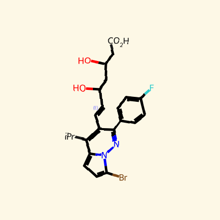 CC(C)c1c(/C=C/C(O)CC(O)CC(=O)O)c(-c2ccc(F)cc2)nn2c(Br)ccc12